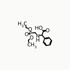 CCOP(=O)(CNC(C(=O)O)c1ccccc1)OCC